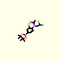 CC(=O)N(CC(F)F)c1ccc(B2OC(C)(C)C(C)(C)O2)cc1Cl